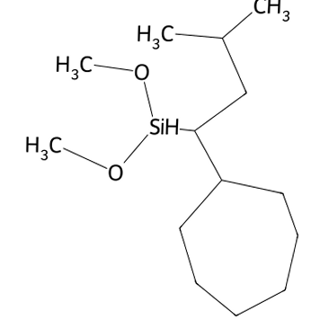 CO[SiH](OC)C(CC(C)C)C1CCCCCC1